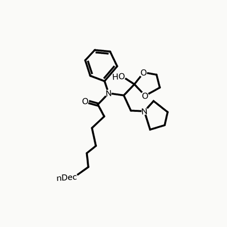 CCCCCCCCCCCCCCCC(=O)N(c1ccccc1)C(CN1CCCC1)C1(O)OCCO1